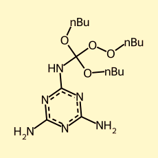 CCCCOOC(Nc1nc(N)nc(N)n1)(OCCCC)OCCCC